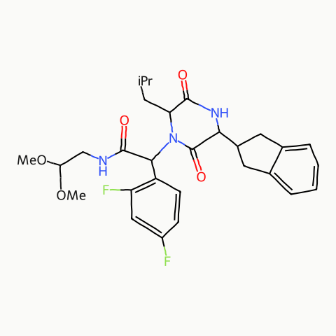 COC(CNC(=O)C(c1ccc(F)cc1F)N1C(=O)C(C2Cc3ccccc3C2)NC(=O)C1CC(C)C)OC